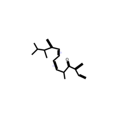 C=CC(=C)C(=O)C(C)/C=C\C=C/C(=C)C(C)C(C)C